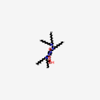 CCC=CCC(CCN(CCCCCCCCC)CC(=O)N1CCN(C(=O)CN(CCCCCCCCC)CCN(CCCCCCCCC)CCCCCCCCC)CC1)C(=O)O